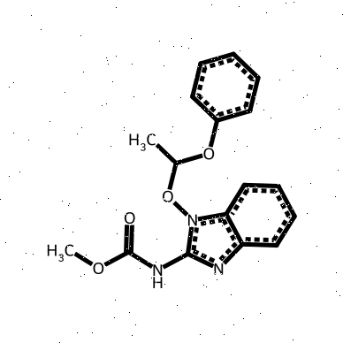 COC(=O)Nc1nc2ccccc2n1OC(C)Oc1ccccc1